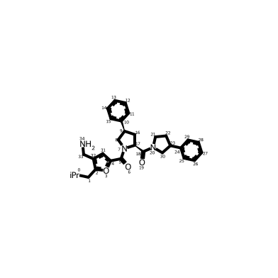 CC(C)Cc1oc(C(=O)N2C[C@@H](c3ccccc3)C[C@H]2C(=O)N2CCC(c3ccccc3)C2)cc1CN